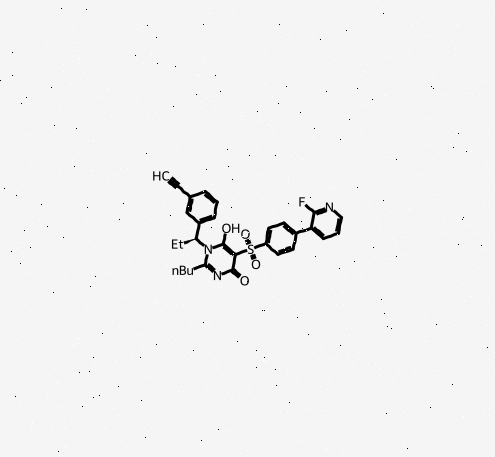 C#Cc1cccc([C@H](CC)n2c(CCCC)nc(=O)c(S(=O)(=O)c3ccc(-c4cccnc4F)cc3)c2O)c1